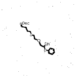 CCCCCCCCCCCCCCOCCOCC(O)Oc1ccccc1